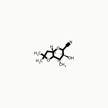 C[C@@H]1C2OC(C)(C)C[C@@H]2OC(C#N)[C@H]1O